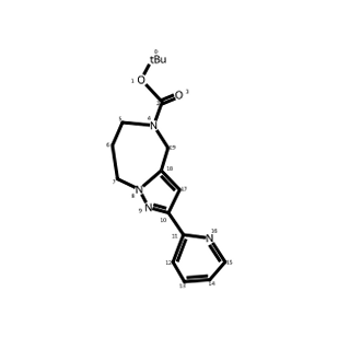 CC(C)(C)OC(=O)N1CCCn2nc(-c3ccccn3)cc2C1